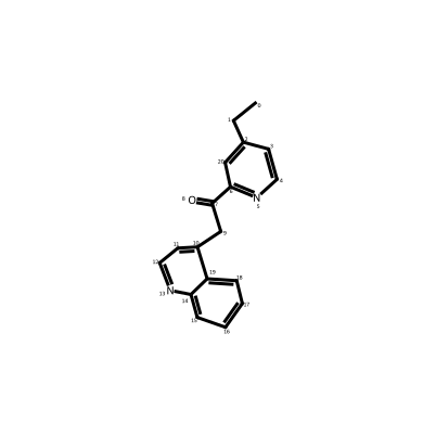 CCc1ccnc(C(=O)Cc2ccnc3ccccc23)c1